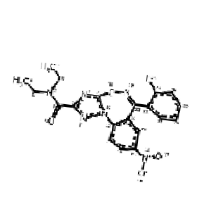 CCN(CC)C(=O)c1nc2n(n1)-c1ccc([N+](=O)[O-])cc1C(c1ccccc1F)=NC2